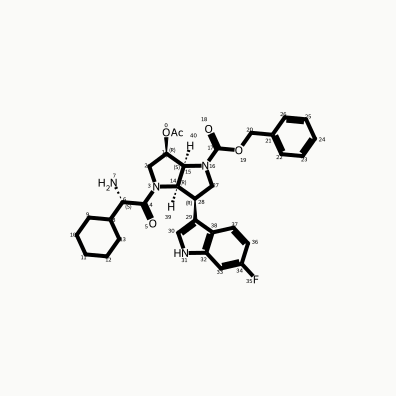 CC(=O)O[C@@H]1CN(C(=O)[C@@H](N)C2CCCCC2)[C@H]2[C@@H]1N(C(=O)OCc1ccccc1)C[C@H]2c1c[nH]c2cc(F)ccc12